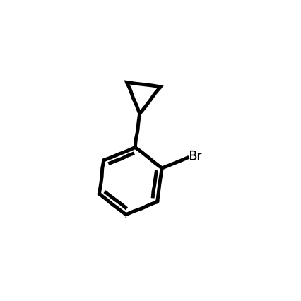 Brc1c[c]ccc1C1CC1